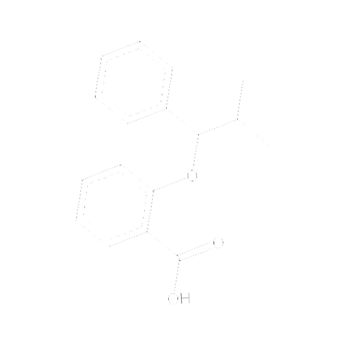 CC(C)C(Oc1ccccc1C(=O)O)c1ccccc1